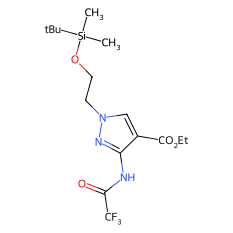 CCOC(=O)c1cn(CCO[Si](C)(C)C(C)(C)C)nc1NC(=O)C(F)(F)F